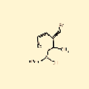 CC/C=C\C(=C/C(C)C)C(C)CN(C)CCCCC